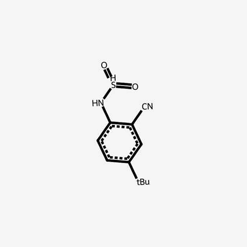 CC(C)(C)c1ccc(N[SH](=O)=O)c(C#N)c1